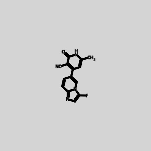 Cc1cc(-c2ccc3ncc(F)n3c2)c(C#N)c(=O)[nH]1